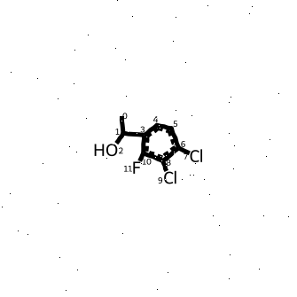 CC(O)c1ccc(Cl)c(Cl)c1F